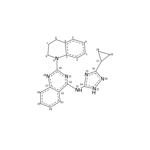 c1ccc2c(c1)CCCN2c1nc(Nc2nc(C3CC3)n[nH]2)c2ccccc2n1